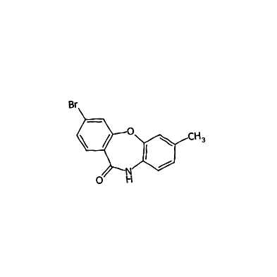 Cc1ccc2c(c1)Oc1cc(Br)ccc1C(=O)N2